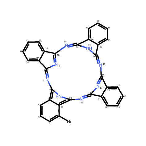 [Ni][c]1cccc2c3nc4nc(nc5[nH]c(nc6nc(nc([nH]3)c12)-c1ccccc1-6)c1ccccc51)-c1ccccc1-4